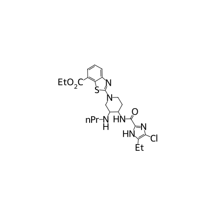 CCCNC1CN(c2nc3cccc(C(=O)OCC)c3s2)CCC1NC(=O)c1nc(Cl)c(CC)[nH]1